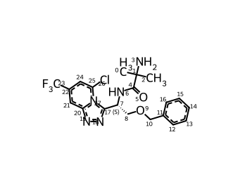 CC(C)(N)C(=O)N[C@H](COCc1ccccc1)c1nnc2cc(C(F)(F)F)cc(Cl)n12